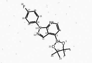 CC1(C)OB(c2ccnc3c2cnn3-c2ccc(F)cc2)OC1(C)C